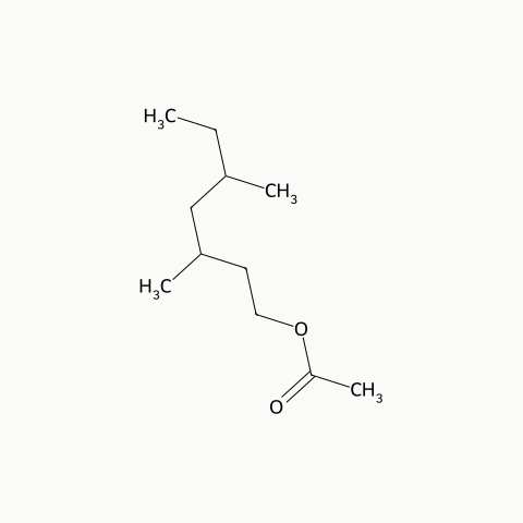 CCC(C)CC(C)CCOC(C)=O